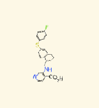 O=C(O)c1ccncc1NCC1=CCCc2cc(Sc3ccc(F)cc3)ccc21